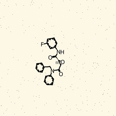 O=C(Nc1cccc(F)c1)[C@H]1OC1C(=O)N(Cc1ccccc1)c1ccccc1